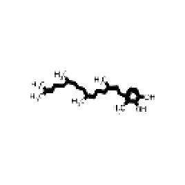 CC(C)=CCCC(C)=CCCC(C)=CCCC(C)=CCc1ccc(O)c(O)c1C